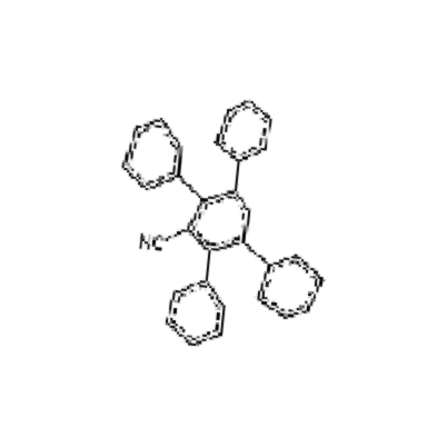 N#Cc1c(-c2ccccc2)c(-c2ccccc2)cc(-c2ccccc2)c1-c1ccccc1